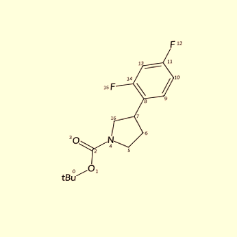 CC(C)(C)OC(=O)N1CCC(c2ccc(F)cc2F)C1